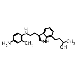 Cc1cc(N)ccc1NCCc1c[nH]c2c(CCC(C)O)cccc12